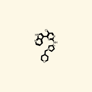 Clc1cnc(N[C@@H]2CCN(CC3CCOCC3)C2)nc1-c1c[nH]c2ncccc12